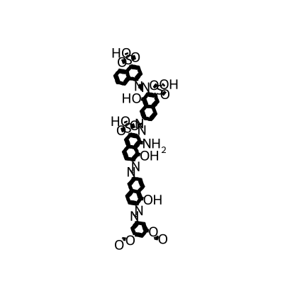 Nc1c(N=Nc2ccc3cc(S(=O)(=O)O)c(N=Nc4ccc(S(=O)(=O)O)c5ccccc45)c(O)c3c2)c(S(=O)(=O)O)cc2ccc(N=Nc3ccc4c(O)c(N=Nc5cc(OC=O)cc(OC=O)c5)ccc4c3)c(O)c12